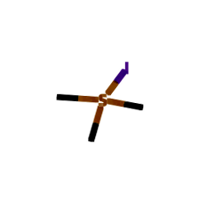 CS(C)(C)I